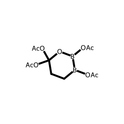 CC(=O)OB1CCC(OC(C)=O)(OC(C)=O)OB1OC(C)=O